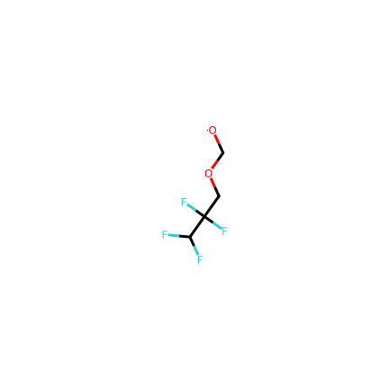 [O]COCC(F)(F)C(F)F